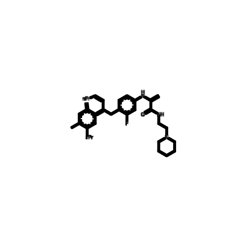 C=C(Nc1ccc(CC(/C=C\CCC)=c2\cc(CCC)c(C)cc2=C)c(F)c1)C(=O)NCCN1CCCCC1